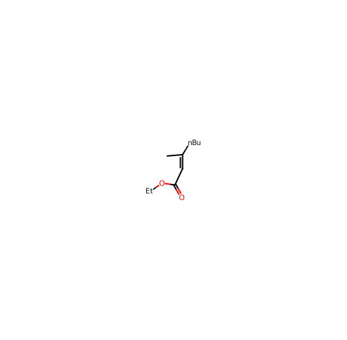 CCCCC(C)=CC(=O)OCC